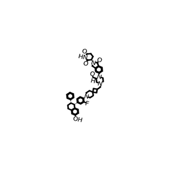 O=C1CC[C@H](N2Cc3c(ccc4c3OC[C@H]3CN(CC5CC6(CCN(c7ccc([C@@H]8c9ccc(O)cc9CC[C@@H]8c8ccccc8)cc7F)CC6)C5)CCN43)C2=O)C(=O)N1